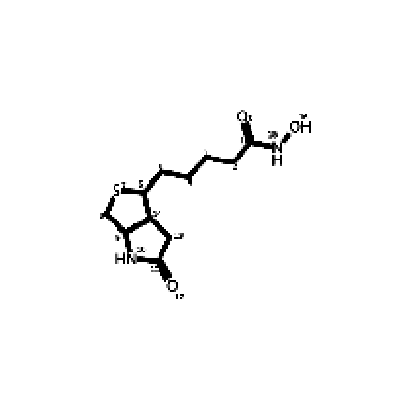 O=C(CCCCC1SCC2NC(=O)CC21)NO